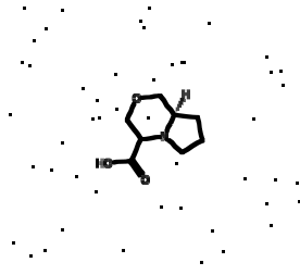 O=C(O)C1COC[C@H]2CCCN12